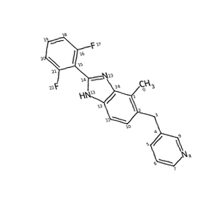 Cc1c(Cc2cccnc2)ccc2[nH]c(-c3c(F)cccc3F)nc12